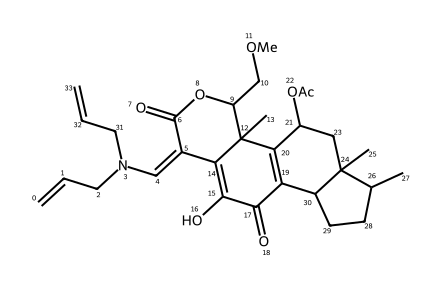 C=CCN(C=C1C(=O)OC(COC)C2(C)C1=C(O)C(=O)C1=C2C(OC(C)=O)CC2(C)C(C)CCC12)CC=C